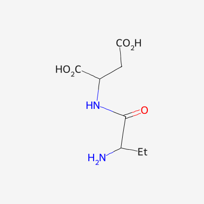 CCC(N)C(=O)NC(CC(=O)O)C(=O)O